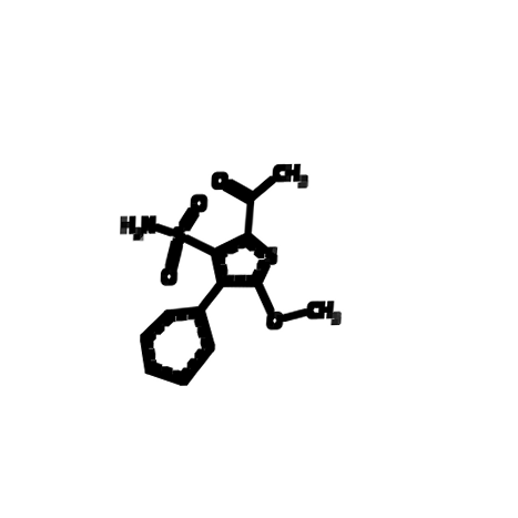 COc1sc(C(C)=O)c(S(N)(=O)=O)c1-c1ccccc1